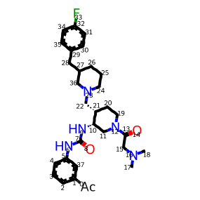 CC(=O)c1cccc(NC(=O)N[C@H]2CN(C(=O)CN(C)C)CC[C@H]2CN2CCCC(Cc3ccc(F)cc3)C2)c1